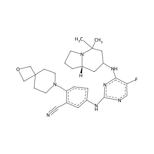 CC1(C)CC(Nc2nc(Nc3ccc(N4CCC5(CC4)COC5)c(C#N)c3)ncc2F)C[C@@H]2CCCN21